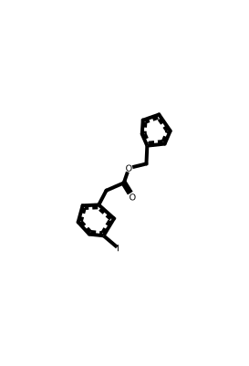 O=C(Cc1cccc(I)c1)OCc1ccccc1